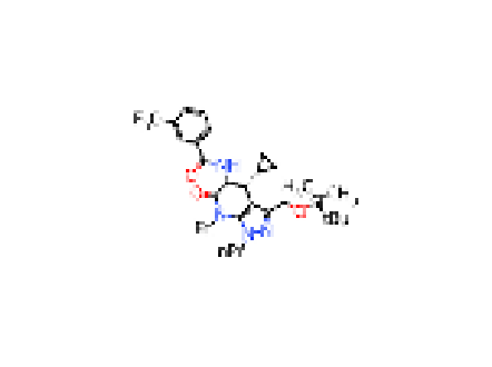 CCCn1nc(CO[Si](C)(C)C(C)(C)C)c2c1N(CC)C(=O)[C@H](NC(=O)c1cccc(C(F)(F)F)c1)[C@@H]2C1CC1